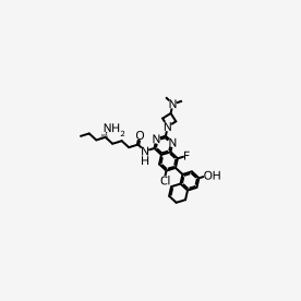 CCC[C@H](N)CCCC(=O)Nc1nc(N2CC(N(C)C)C2)nc2c(F)c(-c3cc(O)cc4c3C=CCC4)c(Cl)cc12